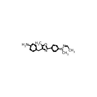 C/C=N\N(C)c1ccc(-c2nc(Cc3ccc(N)cc3)c(C)o2)cc1